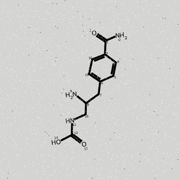 NC(=O)c1ccc(CC(N)CNC(=O)O)cc1